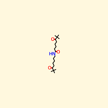 CC(C)(C)C(=O)CCCCCNC(=O)CCCCC(=O)C(C)(C)C